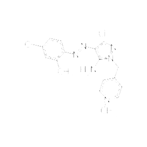 Cc1cc(Cl)ccc1/N=N/c1cnn(Cc2cc[n+](C)cc2)c1N.[Cl-]